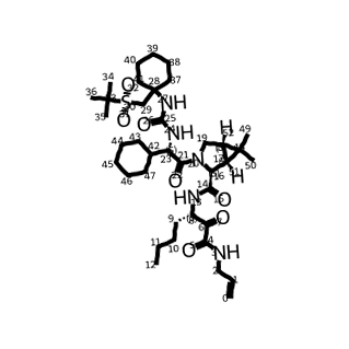 C=CCNC(=O)C(=O)[C@H](CCCC)NC(=O)[C@@H]1[C@@H]2[C@H](CN1C(=O)[C@@H](NC(=O)NC1(CS(=O)(=O)C(C)(C)C)CCCCC1)C1CCCCC1)C2(C)C